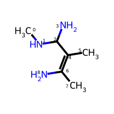 CNC(N)/C(C)=C(/C)N